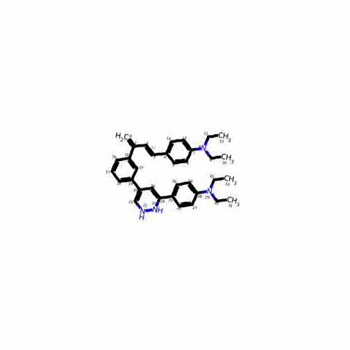 C=C(/C=C/c1ccc(N(CC)CC)cc1)c1cccc(C2=CNNC(c3ccc(N(CC)CC)cc3)=C2)c1